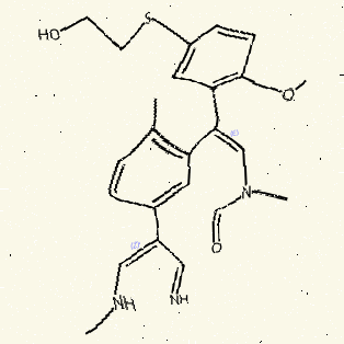 CN/C=C(\C=N)c1ccc(C)c(/C(=C\N(C)C=O)c2cc(SCCO)ccc2OC)c1